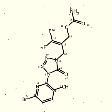 Cc1ccc(Br)nc1-n1nnn(CC(COC(N)=O)=C(F)F)c1=O